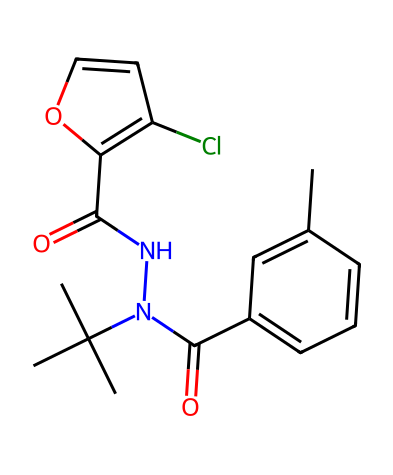 Cc1cccc(C(=O)N(NC(=O)c2occc2Cl)C(C)(C)C)c1